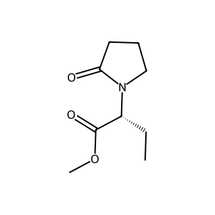 CC[C@H](C(=O)OC)N1CCCC1=O